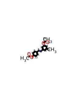 CC(=O)Oc1ccc(/C=C/c2cc(C)cc(OC(C)=O)c2)cc1